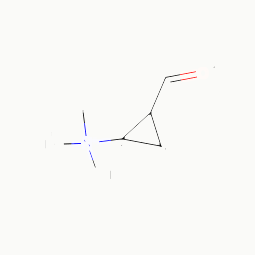 C[N+](C)(C)C1CC1C=O